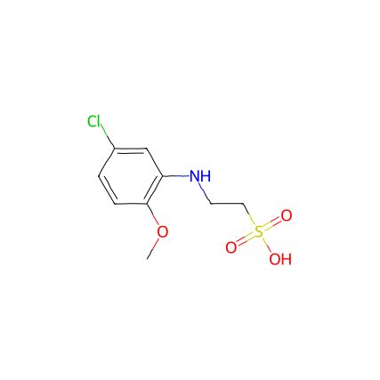 COc1ccc(Cl)cc1NCCS(=O)(=O)O